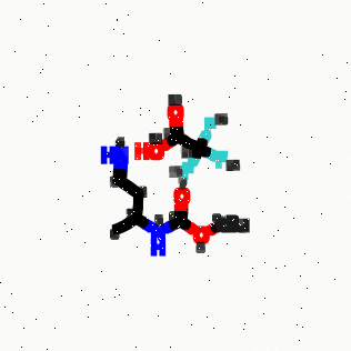 CC(CC=N)NC(=O)OC(C)(C)C.O=C(O)C(F)(F)F